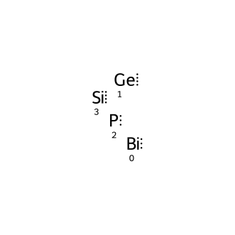 [Bi].[Ge].[P].[Si]